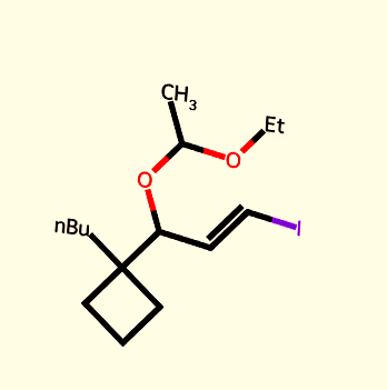 CCCCC1(C(/C=C/I)OC(C)OCC)CCC1